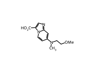 COCCN(C)c1ccn2c(C(=O)O)cnc2c1